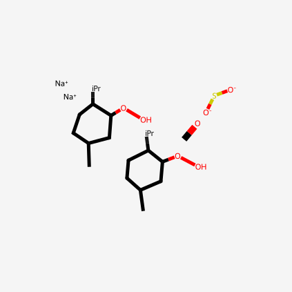 C=O.CC1CCC(C(C)C)C(OO)C1.CC1CCC(C(C)C)C(OO)C1.[Na+].[Na+].[O-]S[O-]